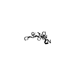 CCN(C(=O)CC[S+]([O-])CCCl)c1cn(-c2cccnc2)nc1Cl